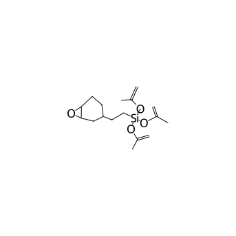 C=C(C)O[Si](CCC1CCC2OC2C1)(OC(=C)C)OC(=C)C